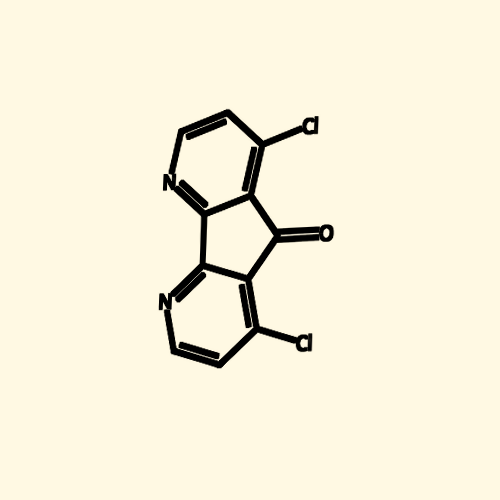 O=C1c2c(Cl)ccnc2-c2nccc(Cl)c21